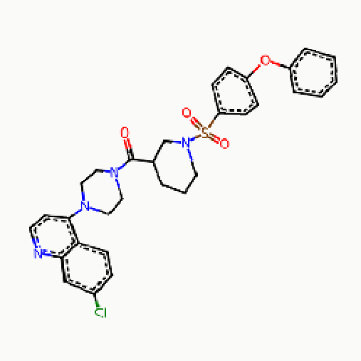 O=C(C1CCCN(S(=O)(=O)c2ccc(Oc3ccccc3)cc2)C1)N1CCN(c2ccnc3cc(Cl)ccc23)CC1